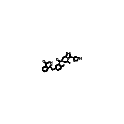 CC1CN(C(=O)c2cc(Cc3n[nH]c(=O)c4ccccc34)ccc2F)Cc2nnc(-c3c[nH]cn3)n21